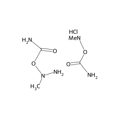 CN(N)OC(N)=O.CNOC(N)=O.Cl